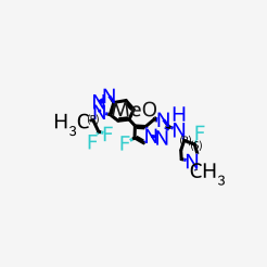 COc1nc(N[C@@H]2CCN(C)C[C@@H]2F)nn2cc(F)c(-c3ccc4nnn([C@H](C)C(F)F)c4c3)c12